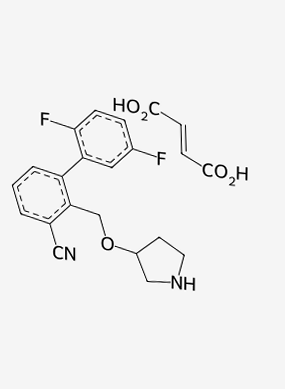 N#Cc1cccc(-c2cc(F)ccc2F)c1COC1CCNC1.O=C(O)C=CC(=O)O